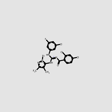 CCn1nc(C(F)(F)F)c(C)c1N/C(=N\C(=O)c1ccc(Cl)cc1Cl)Nc1cc(F)cc(Cl)c1